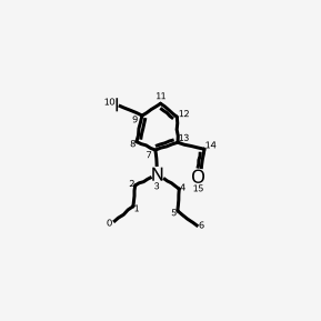 CCCN(CCC)c1cc(I)ccc1C=O